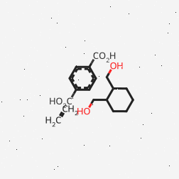 C=C.O=C(O)c1ccc(C(=O)O)cc1.OCC1CCCCC1CO